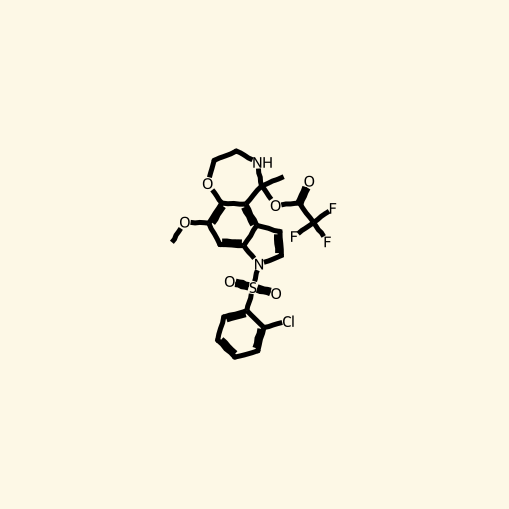 COc1cc2c(ccn2S(=O)(=O)c2ccccc2Cl)c2c1OCCNC2(C)OC(=O)C(F)(F)F